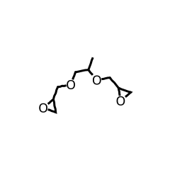 CC(COCC1CO1)OCC1CO1